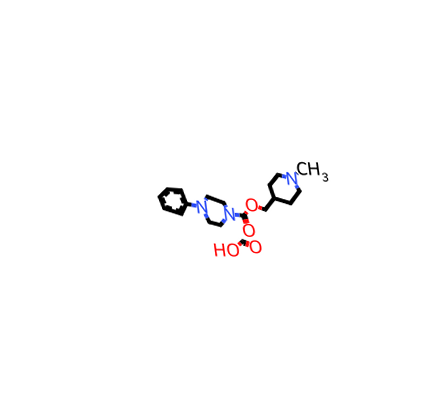 CN1CCC(COC(=O)N2CCN(c3ccccc3)CC2)CC1.O=CO